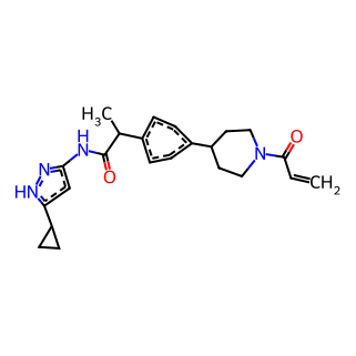 C=CC(=O)N1CCC(c2ccc(C(C)C(=O)Nc3cc(C4CC4)[nH]n3)cc2)CC1